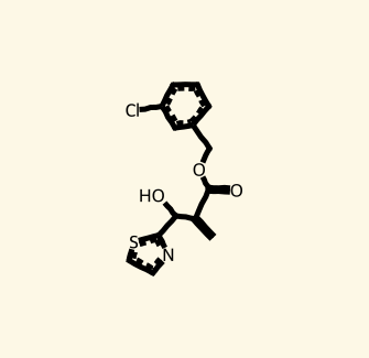 C=C(C(=O)OCc1cccc(Cl)c1)C(O)c1nccs1